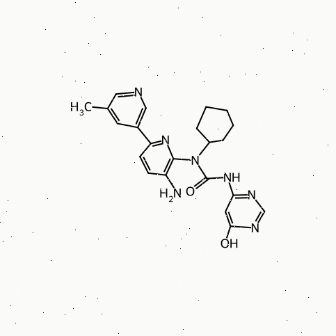 Cc1cncc(-c2ccc(N)c(N(C(=O)Nc3cc(O)ncn3)C3CCCCC3)n2)c1